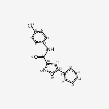 O=C(Nc1ccc(Cl)cc1)c1cc(-c2ccccc2)on1